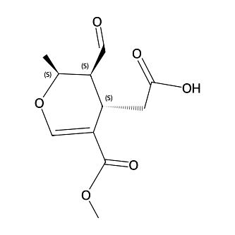 COC(=O)C1=CO[C@@H](C)[C@@H](C=O)[C@@H]1CC(=O)O